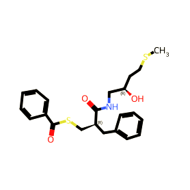 CSCC[C@@H](O)CNC(=O)[C@H](CSC(=O)c1ccccc1)Cc1ccccc1